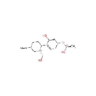 COC1CCC(C2=CCC(O[C@@H](C)O)C=C2O)[C@H](CO)C1